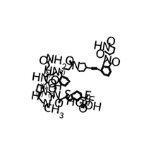 CN1CC[C@H]2CC[C@@H](C(=O)N[C@@H](CCC(N)=O)C(=O)N[C@H](CCC(=O)N3CCC(C#Cc4cccc5c4CN(C4CCC(=O)NC4=O)C5=O)CC3)c3ccccc3)N2C(=O)[C@@H](NC(=O)c2cc3cc(C(F)(F)P(=O)(O)O)ccc3s2)C1